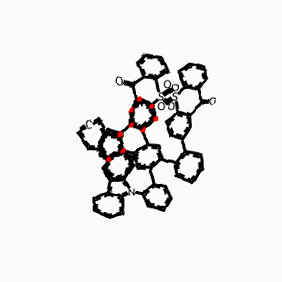 O=C1c2ccccc2S(=O)(=O)c2ccc(-c3ccccc3-c3cc(-c4ccccc4-n4c5ccccc5c5ccccc54)c(-c4ccccc4-c4ccc5c(c4)C(=O)c4ccccc4S5(=O)=O)cc3-c3ccccc3-n3c4ccccc4c4ccccc43)cc21